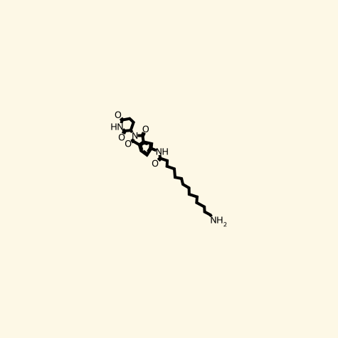 NCCCCCCCCCCCCCC(=O)Nc1ccc2c(c1)C(=O)N(C1CCC(=O)NC1=O)C2=O